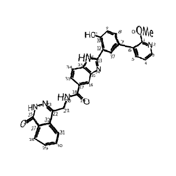 COc1ncccc1-c1ccc(O)c(-c2nc3cc(C(=O)NCc4n[nH]c(=O)c5ccccc45)ccc3[nH]2)c1